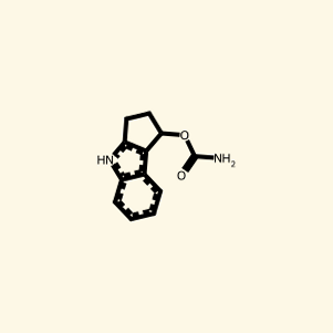 NC(=O)OC1CCc2[nH]c3ccccc3c21